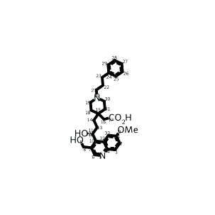 COc1ccc2ncc(CO)c([C@H](O)CCC3(CC(=O)O)CCN(CCCc4ccccc4)CC3)c2c1